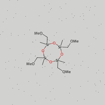 COC[Si]1(C)O[Si](C)(COC)O[Si](C)(COC)O[Si](C)(COC)O1